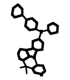 CC1(C)c2cnccc2-n2c3ccc(N(c4ccccc4)c4ccc(-c5ccccc5)cc4)cc3c3cccc1c32